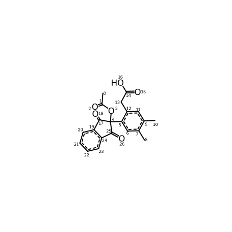 CC(=O)OC1(c2cc(C)c(C)cc2CC(=O)O)C(=O)c2ccccc2C1=O